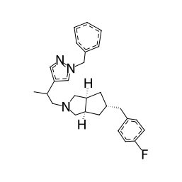 CC(CN1C[C@H]2C[C@H](Cc3ccc(F)cc3)C[C@H]2C1)c1cnn(Cc2ccccc2)c1